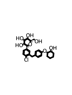 OC[C@H]1O[C@@H](c2ccc(Cl)c(Cc3ccc(OC4CCCC[C@H]4O)cc3)c2)[C@H](O)[C@@H](O)[C@@H]1O